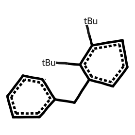 CC(C)(C)c1cccc(Cc2[c]cccc2)c1C(C)(C)C